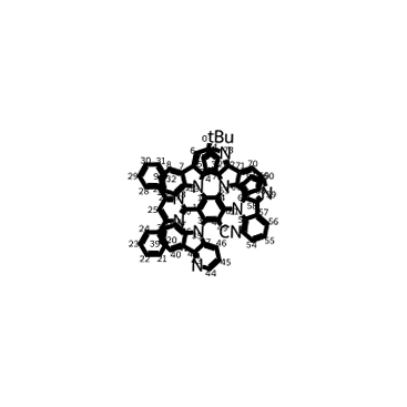 CC(C)(C)c1ccc2c(c1)c1ccccc1n2-c1c(-c2nc(-c3ccccc3)cc(-c3ccccc3)n2)c(-n2c3ccccc3c3ncccc32)c(C#N)c(-n2c3ccccc3c3ncccc32)c1-n1c2ccccc2c2ncccc21